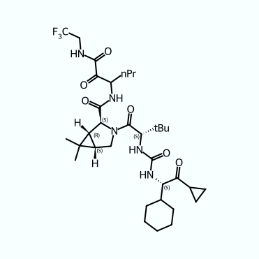 CCCC(NC(=O)[C@@H]1[C@@H]2[C@H](CN1C(=O)[C@@H](NC(=O)N[C@H](C(=O)C1CC1)C1CCCCC1)C(C)(C)C)C2(C)C)C(=O)C(=O)NCC(F)(F)F